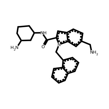 NCc1ccc2cc(C(=O)NC3CCCC(N)C3)n(Cc3cccc4ccccc34)c2c1